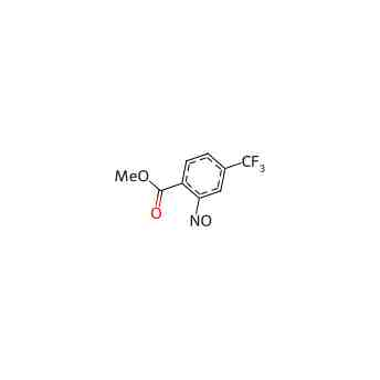 COC(=O)c1ccc(C(F)(F)F)cc1N=O